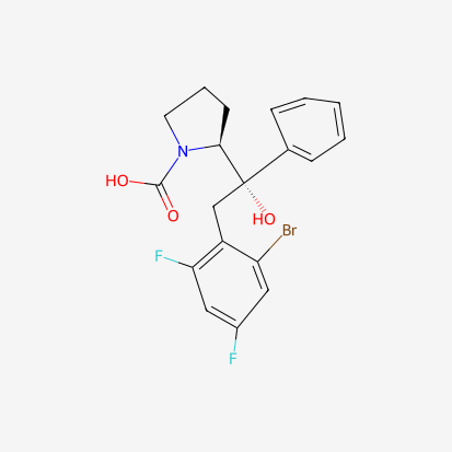 O=C(O)N1CCC[C@H]1[C@](O)(Cc1c(F)cc(F)cc1Br)c1ccccc1